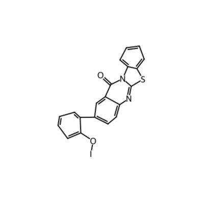 O=c1c2cc(-c3ccccc3OI)ccc2nc2sc3ccccc3n12